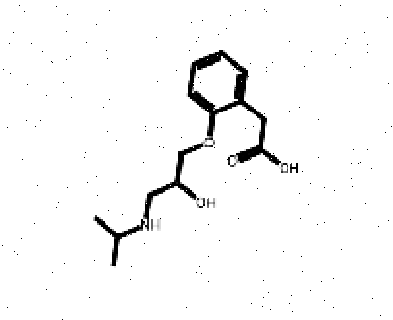 CC(C)NCC(O)COc1ccccc1CC(=O)O